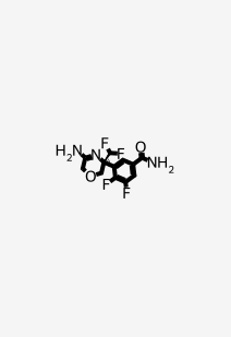 NC(=O)c1cc(F)c(F)c([C@]2(C(F)F)COCC(N)=N2)c1